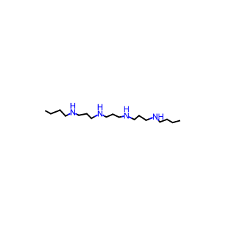 CCCCNCCCNCCCNCCCNCCCC